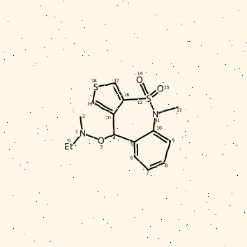 CCN(C)OC1c2ccccc2N(C)S(=O)(=O)c2cscc21